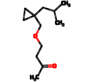 CC(=O)CCOCC1(CC(C)C)CC1